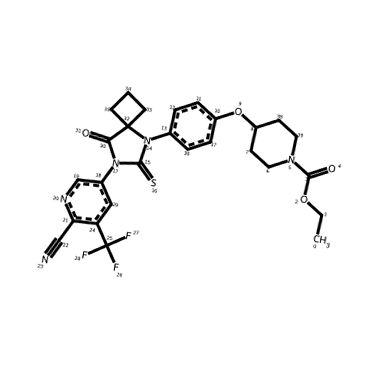 CCOC(=O)N1CCC(Oc2ccc(N3C(=S)N(c4cnc(C#N)c(C(F)(F)F)c4)C(=O)C34CCC4)cc2)CC1